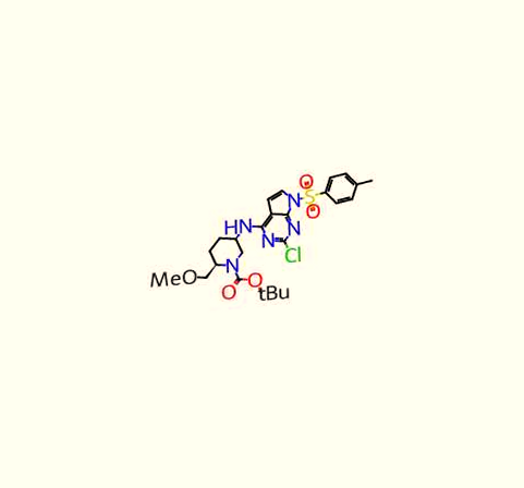 COC[C@H]1CC[C@@H](Nc2nc(Cl)nc3c2ccn3S(=O)(=O)c2ccc(C)cc2)CN1C(=O)OC(C)(C)C